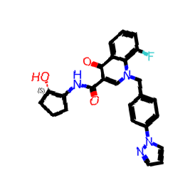 O=C(NC1CCC[C@@H]1O)c1cn(Cc2ccc(-n3cccn3)cc2)c2c(F)cccc2c1=O